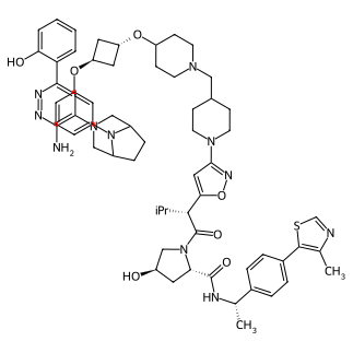 Cc1ncsc1-c1ccc([C@H](C)NC(=O)[C@@H]2C[C@@H](O)CN2C(=O)[C@@H](c2cc(N3CCC(CN4CCC(O[C@H]5C[C@H](Oc6cccc(N7C8CCC7CN(c7cc(-c9ccccc9O)nnc7N)C8)c6)C5)CC4)CC3)no2)C(C)C)cc1